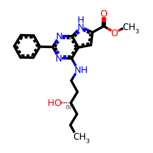 CCC[C@H](O)CCNc1nc(-c2ccccc2)nc2[nH]c(C(=O)OC)cc12